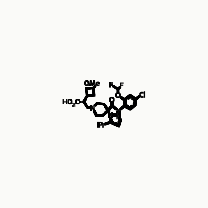 COC1CC([C@H](CN2CCC(C(=O)Nc3ccc(Cl)cc3OC(F)F)(n3nccc3C(C)C)CC2)C(=O)O)C1